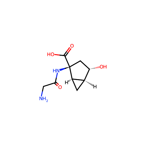 NCC(=O)N[C@@]1(C(=O)O)C[C@H](O)[C@H]2C[C@H]21